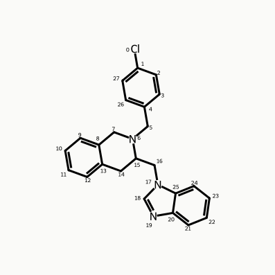 Clc1ccc(CN2Cc3ccccc3CC2Cn2cnc3ccccc32)cc1